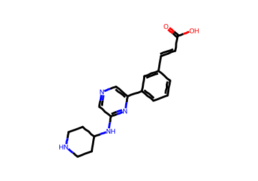 O=C(O)/C=C/c1cccc(-c2cncc(NC3CCNCC3)n2)c1